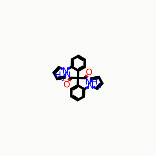 NC(=O)C(C(N)=O)(c1ccccc1-n1cccc1)c1ccccc1-n1cccc1